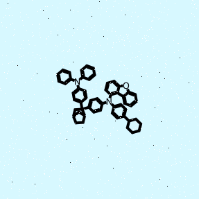 c1ccc(N(c2ccccc2)c2ccc(C3(c4ccc(N(c5ccc(C6CCCCC6)cc5)c5cccc6oc7ccccc7c56)cc4)CC4CCC3C4)cc2)cc1